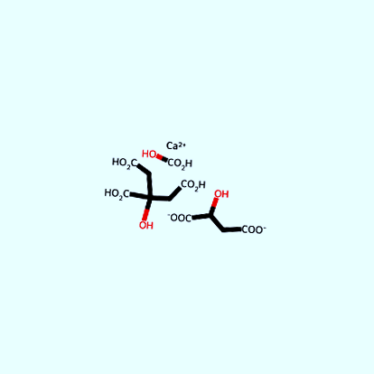 O=C(O)CC(O)(CC(=O)O)C(=O)O.O=C(O)O.O=C([O-])CC(O)C(=O)[O-].[Ca+2]